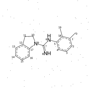 Cc1cccc(NC(=N)N2CCc3ccccc32)c1C